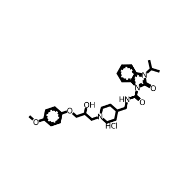 COc1ccc(OCC(O)CN2CCC(CNC(=O)n3c(=O)n(C(C)C)c4ccccc43)CC2)cc1.Cl